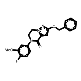 COc1cc(N2CCn3nc(OCc4ccccc4)cc3C2=O)ccc1F